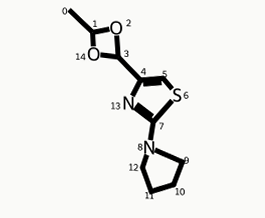 CC1OC(c2csc(N3CCCC3)n2)O1